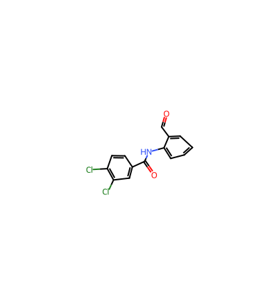 O=Cc1ccccc1NC(=O)c1ccc(Cl)c(Cl)c1